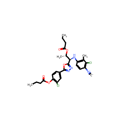 [C-]#[N+]c1ccc(N[C@@H](c2nnc(-c3ccc(OC(=O)CCC)c(Cl)c3)o2)[C@H](C)OC(=O)CCC)c(C)c1Cl